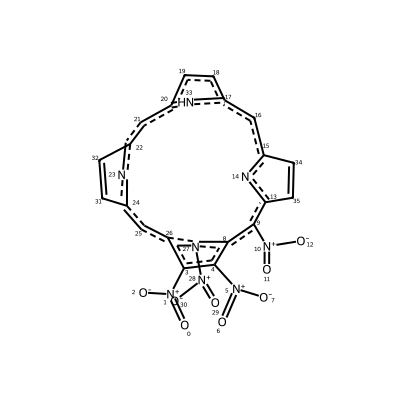 O=[N+]([O-])c1c([N+](=O)[O-])c2c([N+](=O)[O-])c3nc(cc4ccc(cc5nc(cc1n2[N+](=O)[O-])C=C5)[nH]4)C=C3